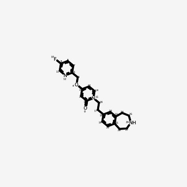 O=c1cc(OCc2ccc(F)cn2)ccn1CCc1ccc2c(c1)CCNCC2